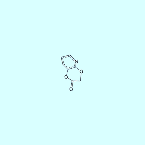 O=C1COc2ncccc2O1